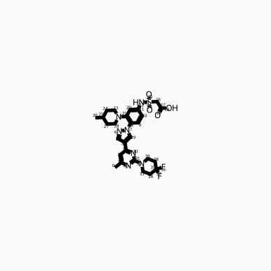 Cc1cc(-c2cnn(-c3ccc(NS(=O)(=O)CC(=O)O)cc3N3CCC(C)CC3)c2)nc(N2CCC(F)(F)CC2)n1